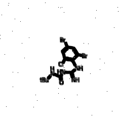 CC(C)(C)NC(=O)NC(=N)Nc1c(Cl)cc(Br)cc1Br